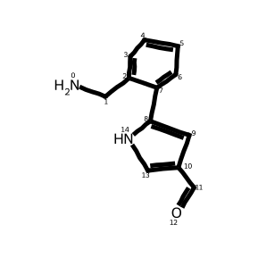 NCc1ccccc1-c1cc(C=O)c[nH]1